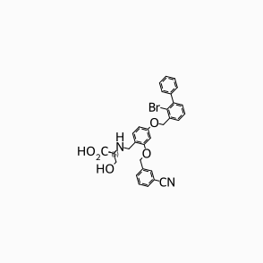 N#Cc1cccc(COc2cc(OCc3cccc(-c4ccccc4)c3Br)ccc2CN[C@@H](CO)C(=O)O)c1